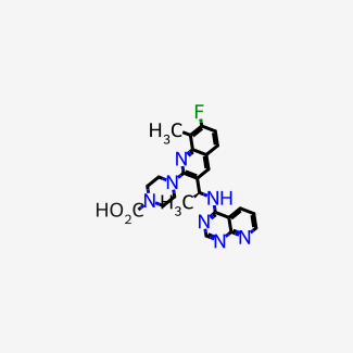 Cc1c(F)ccc2cc([C@H](C)Nc3ncnc4ncccc34)c(N3CCN(C(=O)O)CC3)nc12